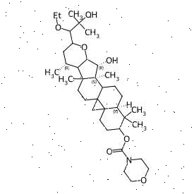 CCOC(C1C[C@@H](C)C2C(O1)[C@H](O)[C@@]1(C)C3CC[C@H]4C(C)(C)C(OC(=O)N5CCOCC5)CCC45CC35CCC21C)C(C)(C)O